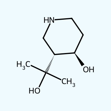 CC(C)(O)[C@@H]1CNCC[C@H]1O